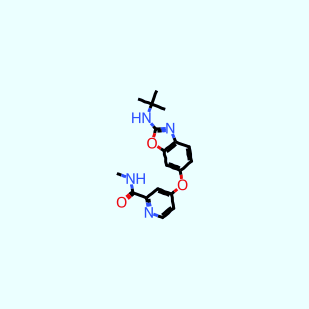 CNC(=O)c1cc(Oc2ccc3nc(NC(C)(C)C)oc3c2)ccn1